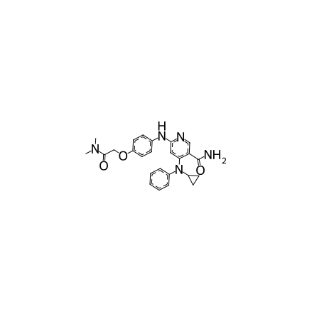 CN(C)C(=O)COc1ccc(Nc2cc(N(c3ccccc3)C3CC3)c(C(N)=O)cn2)cc1